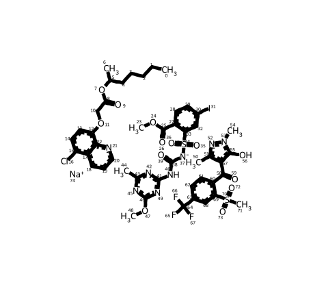 CCCCCC(C)OC(=O)COc1ccc(Cl)c2cccnc12.COC(=O)c1ccc(I)cc1S(=O)(=O)[N-]C(=O)Nc1nc(C)nc(OC)n1.Cc1nn(C)c(O)c1C(=O)c1ccc(C(F)(F)F)cc1S(C)(=O)=O.[Na+]